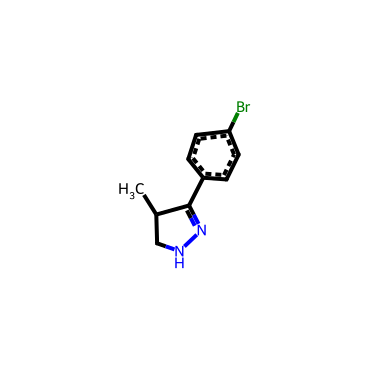 CC1CNN=C1c1ccc(Br)cc1